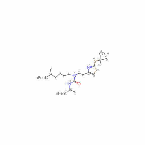 CCCCCC(C)CCCCN(CCc1csc(SC(C)(C)C(=O)O)n1)C(=O)NC(C)CCCCC